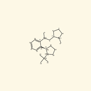 CN(CC1CCCN1C)c1ccccc1[C@H]1CCCN1C(C)(C)C